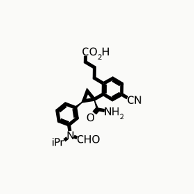 CC(C)N(C=O)c1cccc([C@H]2C[C@]2(C(N)=O)c2cc(C#N)ccc2CCCC(=O)O)c1